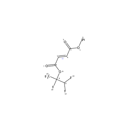 CC(C)OC(=O)/C=C/C(=O)OC(F)(C(F)F)C(F)(F)F